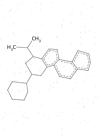 CC(C)C1CC(C2CCCCC2)Cc2c1ccc1c2ccc2ccccc21